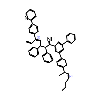 C=C/C(=C\C(c1ccccc1)C(C(=N)c1cc(C2=CC=C(C(C)/C=C\CCC)CC2)cc(-c2ccccc2)c1)c1ccccc1)c1ccc(-c2ccccn2)cc1